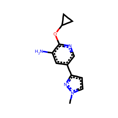 Cn1ccc(-c2cnc(OC3CC3)c(N)c2)n1